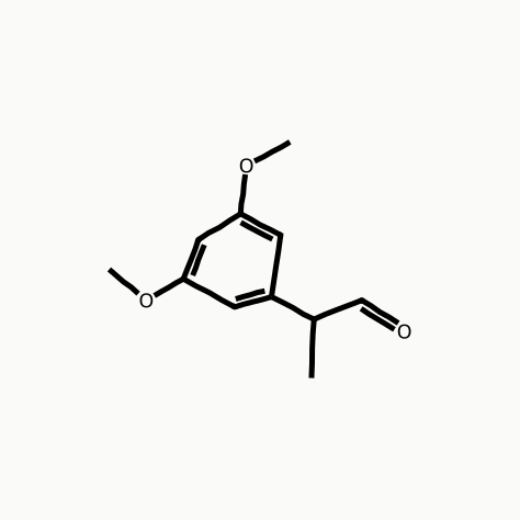 COc1cc(OC)cc(C(C)C=O)c1